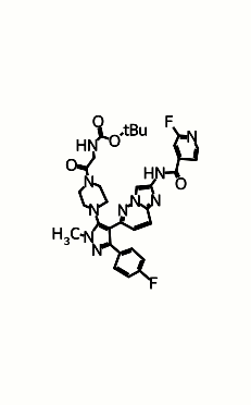 Cn1nc(-c2ccc(F)cc2)c(-c2ccc3nc(NC(=O)c4ccnc(F)c4)cn3n2)c1N1CCN(C(=O)CNC(=O)OC(C)(C)C)CC1